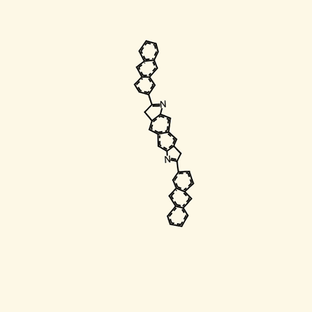 c1ccc2cc3cc(C4=Nc5cc6cc7c(cc6cc5C4)N=C(c4ccc5cc6ccccc6cc5c4)C7)ccc3cc2c1